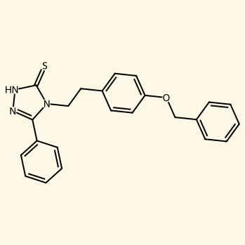 S=c1[nH]nc(-c2ccccc2)n1CCc1ccc(OCc2ccccc2)cc1